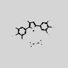 CCCCC1=C(c2cc(CCC)c(CCC)c(CCC)c2)[N+](=[N-])C(c2cc(CCCC)c(CCCC)c(CCCC)c2)=C1.CC[N](CC)[Ni][N](CC)CC